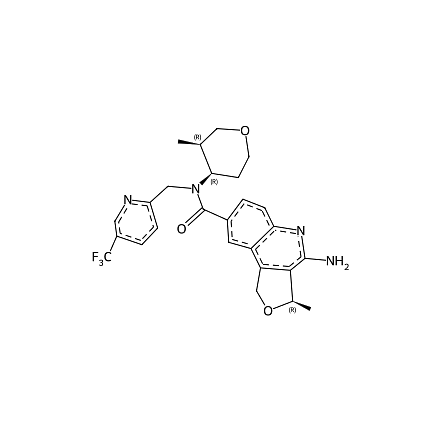 C[C@H]1OCc2c1c(N)nc1ccc(C(=O)N(Cc3ccc(C(F)(F)F)cn3)[C@@H]3CCOC[C@@H]3C)cc21